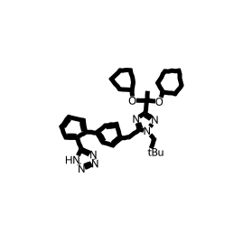 CC(C)(C)Cn1nc(C(C)(OC2CCCCC2)OC2CCCCC2)nc1Cc1ccc(-c2ccccc2-c2nnn[nH]2)cc1